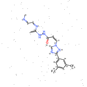 C=C(/N=C\C=N/C)NNC(=O)/C=C\n1cnc(-c2cc(C(F)(F)F)cc(C(F)(F)F)c2)n1